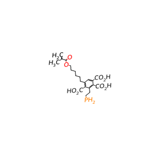 C=C(C)C(=O)OCCCCCCc1cc(C(=O)O)c(C(=O)O)c(CCP)c1C(=O)O